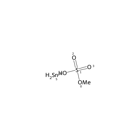 COS(=O)(=O)O.[SnH2]